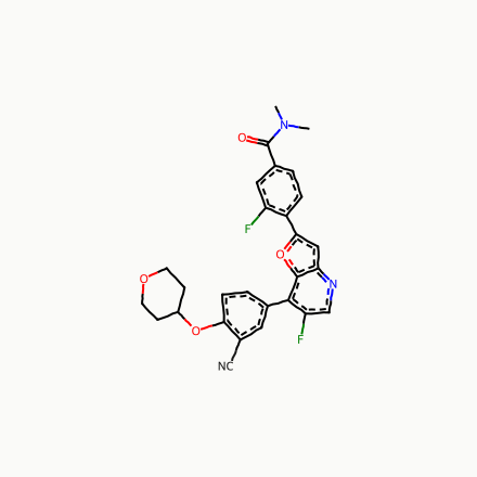 CN(C)C(=O)c1ccc(-c2cc3ncc(F)c(-c4ccc(OC5CCOCC5)c(C#N)c4)c3o2)c(F)c1